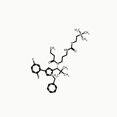 CCCC(=O)N(CCCNC(=O)OCC[Si](C)(C)C)[C@@H](c1cc(-c2cc(F)ccc2F)cn1Cc1ccccc1)C(C)(C)C